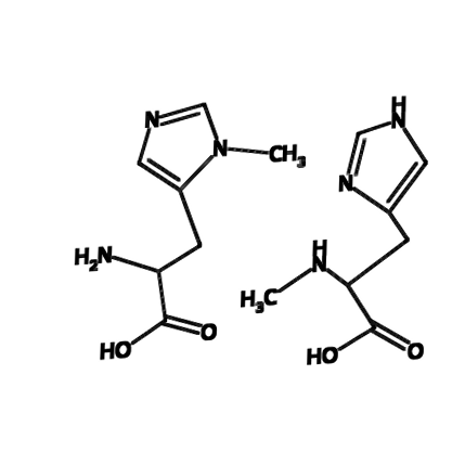 CNC(Cc1c[nH]cn1)C(=O)O.Cn1cncc1CC(N)C(=O)O